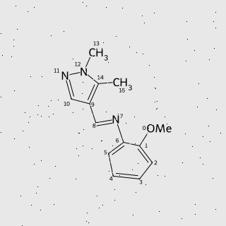 COc1ccccc1N=Cc1cnn(C)c1C